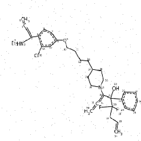 C=C=C(NCC)c1ccc(OCCCCC2CCN(C(=C=C)C(O)(c3ccccc3)C(F)(F)CC=C)CC2)cc1Cl